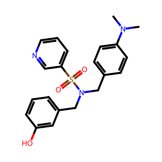 CN(C)c1ccc(CN(Cc2cccc(O)c2)S(=O)(=O)c2cccnc2)cc1